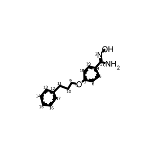 NC(=NO)c1ccc(OCCCc2ccccc2)cc1